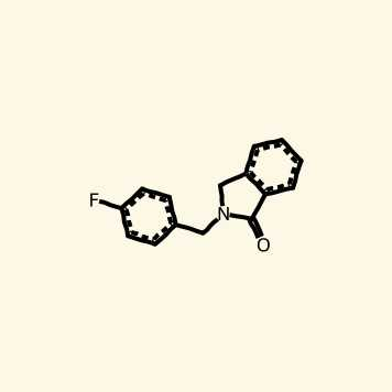 O=C1c2ccccc2CN1Cc1ccc(F)cc1